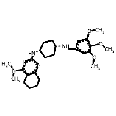 COc1cc(CN[C@H]2CC[C@@H](Nc3nc4c(c(N(C)C)n3)CCCC4)CC2)cc(OC)c1OC